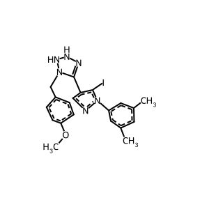 COc1ccc(CN2NNN=C2c2cnn(-c3cc(C)cc(C)c3)c2I)cc1